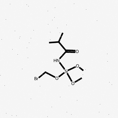 CO[Si](NC(=O)C(C)C)(OC)OCBr